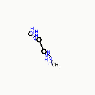 CCCNCc1nc2cc(C#Cc3ccc4[nH]c([C@@H]5CCCN5)nc4c3)ccc2[nH]1